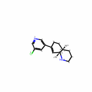 Clc1cncc(C2=C[C@H]3NCCC[C@H]3CC2)c1